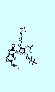 CC(=O)O[C@H]1[C@@H](OCOCC[Si](C)(C)C)[C@H](n2c(=O)sc3cnc(N)nc32)O[C@@H]1CO[Si](C)(C)C(C)(C)C